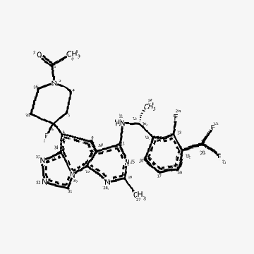 CC(=O)N1CCC(F)(c2cc3c(N[C@H](C)c4cccc(C(F)F)c4F)nc(C)nc3n3cnnc23)CC1